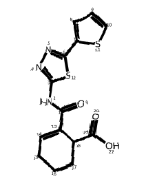 O=C(Nc1nnc(-c2cccs2)s1)C1=CCCCC1C(=O)O